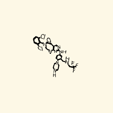 CN1CN(c2c(Cl)cccc2Cl)C2OC2c2cnc(Nc3ccc(N4CCNCC4)c(CNCC(F)(F)F)c3)nc21